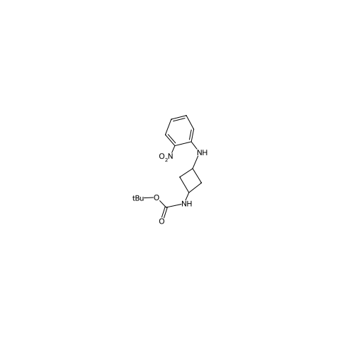 CC(C)(C)OC(=O)NC1CC(Nc2ccccc2[N+](=O)[O-])C1